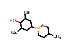 CC1CCP(C2CC(C(C)(C)C)C(O)C(C(C)(C)C)C2)CC1